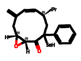 C=C1C=C[C@H](C(C)C)CC([SeH])(c2ccccc2)C(=O)[C@@H]2O[C@@H]2C1